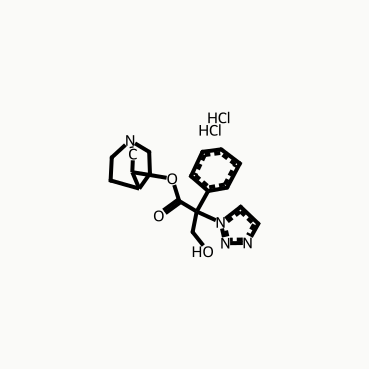 Cl.Cl.O=C(OC1CN2CCC1CC2)C(CO)(c1ccccc1)n1ccnn1